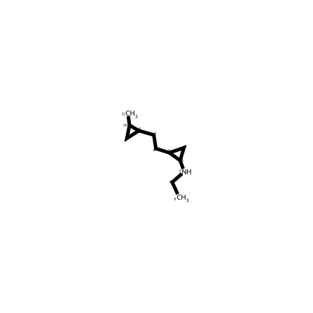 CCNC1CC1CCC1CC1C